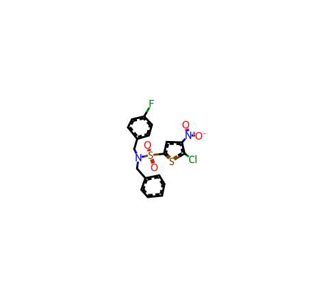 O=[N+]([O-])c1cc(S(=O)(=O)N(Cc2ccccc2)Cc2ccc(F)cc2)sc1Cl